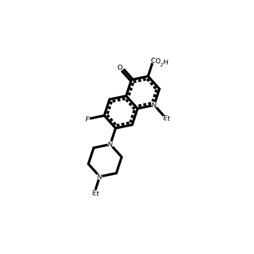 CCN1CCN(c2cc3c(cc2F)c(=O)c(C(=O)O)cn3CC)CC1